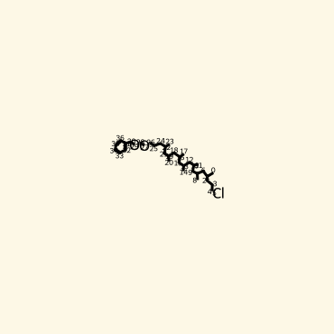 CC(CCCCl)CC(C)CC(C)CC(C)CC(C)CC(C)CC(C)CCCOCOCc1ccccc1